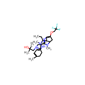 CCC(N(C)NC1=CC=C(C)CC1)[C@@]1(C)C2=C(OCC(F)(F)F)CC1N(C)C(C1CN(CC(C)(C)O)C1)=N2